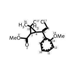 COC(=O)C1C(C(=CCl)c2ccccc2OC)C1(C)C